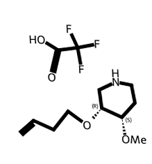 C=CCCO[C@@H]1CNCC[C@@H]1OC.O=C(O)C(F)(F)F